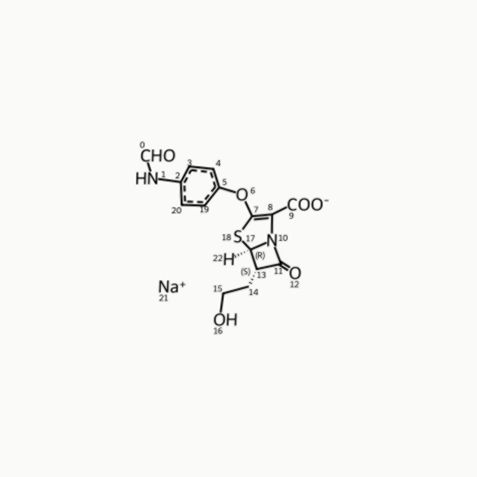 O=CNc1ccc(OC2=C(C(=O)[O-])N3C(=O)[C@H](CCO)[C@H]3S2)cc1.[Na+]